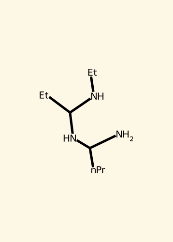 CCCC(N)NC(CC)NCC